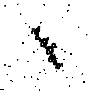 C=CPOCc1nc([C@H]2CC(=O)C[C@@H](C[C@H]3CC(=C)C[C@H](CCOB=[PH]=S)O3)O2)co1